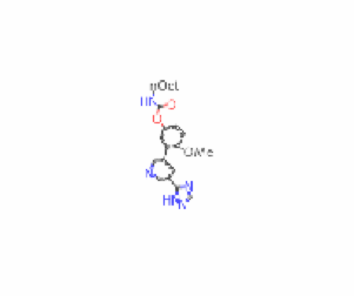 CCCCCCCCNC(=O)Oc1ccc(OC)c(-c2cncc(-c3ncn[nH]3)c2)c1